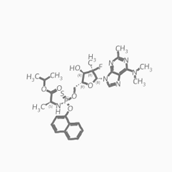 Cc1nc(N(C)C)c2ncn([C@@H]3O[C@H](CO[P@@](=S)(N[C@@H](C)C(=O)OC(C)C)Oc4cccc5ccccc45)[C@@H](O)[C@@]3(C)F)c2n1